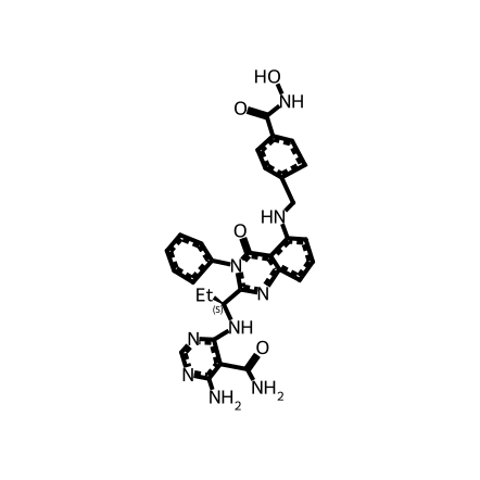 CC[C@H](Nc1ncnc(N)c1C(N)=O)c1nc2cccc(NCc3ccc(C(=O)NO)cc3)c2c(=O)n1-c1ccccc1